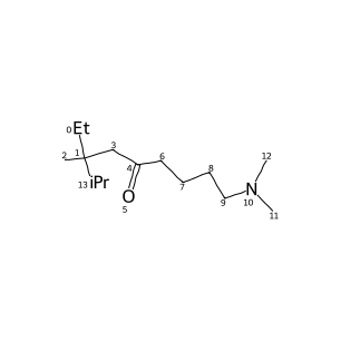 CCC(C)(CC(=O)CCCCN(C)C)C(C)C